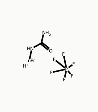 CCCNC(N)=O.F[P-](F)(F)(F)(F)F.[H+]